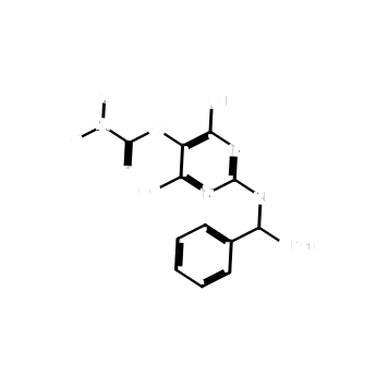 CCCCCC(Nc1nc(C)c(OC(=O)N(C)C)c(C)n1)c1ccccc1